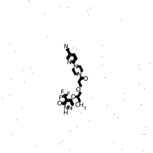 CCC(COCCC(=O)N1CCN(c2ccc(C#N)cn2)CC1)Oc1cn[nH]c(=O)c1C(F)(F)F